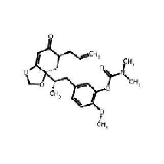 C=CC[C@H]1C[C@]2([C@@H](C)Cc3ccc(OC)c(OC(=O)N(C)C)c3)OCOC2=CC1=O